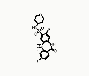 CC(C)c1cc2c(cc1S(=O)(=O)NC1CCOCC1)S(=O)(=O)c1cc(F)ccc1C(=O)N2